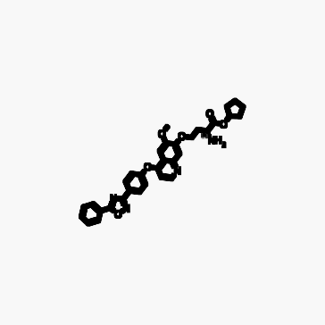 COc1cc2c(Oc3ccc(-c4noc(-c5ccccc5)n4)cc3)ccnc2cc1OCC[C@@H](N)C(=O)OC1CCCC1